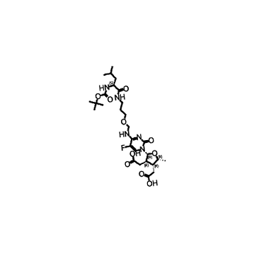 CC(C)C[C@H](NC(=O)OC(C)(C)C)C(=O)NCCCOCNc1nc(=O)n([C@@H]2O[C@H](C)[C@H](CC(=O)O)[C@H]2CC(=O)O)cc1F